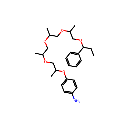 CCC(OCC(C)OCC(C)OCC(C)OCC(C)Oc1ccc(N)cc1)c1ccccc1